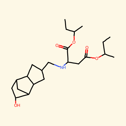 CCC(C)OC(=O)CC(NCC1CC2C3CC(O)C(C3)C2C1)C(=O)OC(C)CC